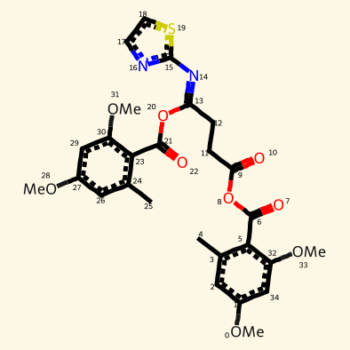 COc1cc(C)c(C(=O)OC(=O)CCC(=Nc2nccs2)OC(=O)c2c(C)cc(OC)cc2OC)c(OC)c1